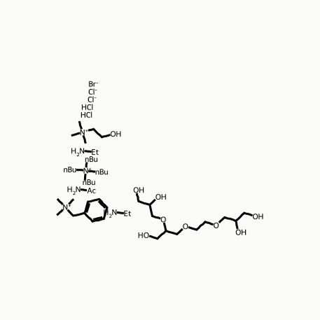 CC(N)=O.CCCC[N+](CCCC)(CCCC)CCCC.CCN.CCN.C[N+](C)(C)CCO.C[N+](C)(C)Cc1ccccc1.Cl.Cl.OCC(O)COCCOCC(CO)OCC(O)CO.[Br-].[Cl-].[Cl-]